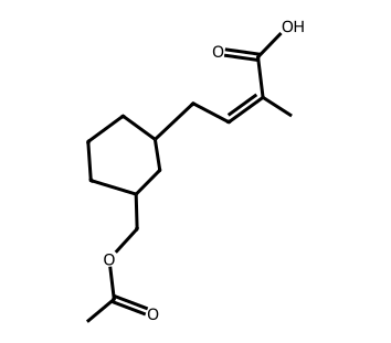 CC(=O)OCC1CCCC(CC=C(C)C(=O)O)C1